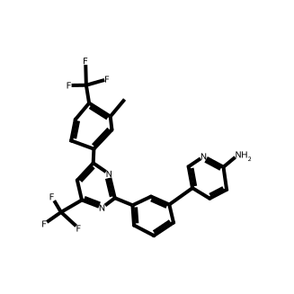 Cc1cc(-c2cc(C(F)(F)F)nc(-c3cccc(-c4ccc(N)nc4)c3)n2)ccc1C(F)(F)F